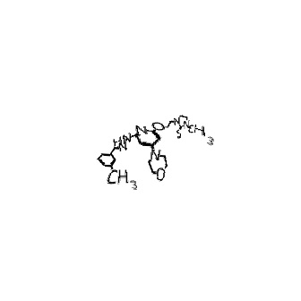 Cc1cccc(C=NNc2cc(N3CCOCC3)cc(OCCN3CCN(C)C3=S)n2)c1